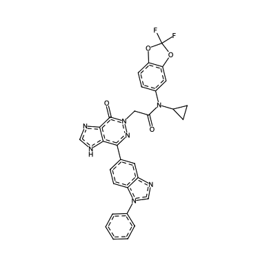 O=C(Cn1nc(-c2ccc3c(c2)ncn3-c2ccccc2)c2[nH]cnc2c1=O)N(c1ccc2c(c1)OC(F)(F)O2)C1CC1